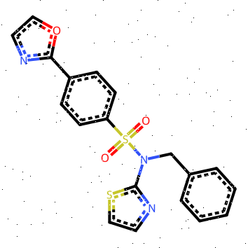 O=S(=O)(c1ccc(-c2ncco2)cc1)N(Cc1ccccc1)c1nccs1